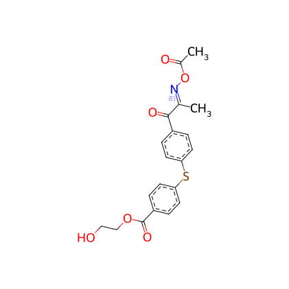 CC(=O)O/N=C(\C)C(=O)c1ccc(Sc2ccc(C(=O)OCCO)cc2)cc1